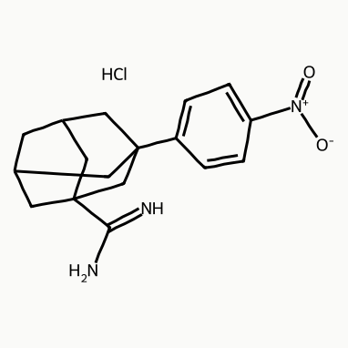 Cl.N=C(N)C12CC3CC(C1)CC(c1ccc([N+](=O)[O-])cc1)(C3)C2